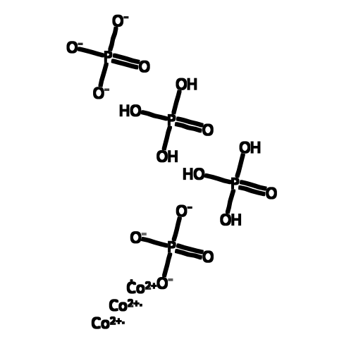 O=P(O)(O)O.O=P(O)(O)O.O=P([O-])([O-])[O-].O=P([O-])([O-])[O-].[Co+2].[Co+2].[Co+2]